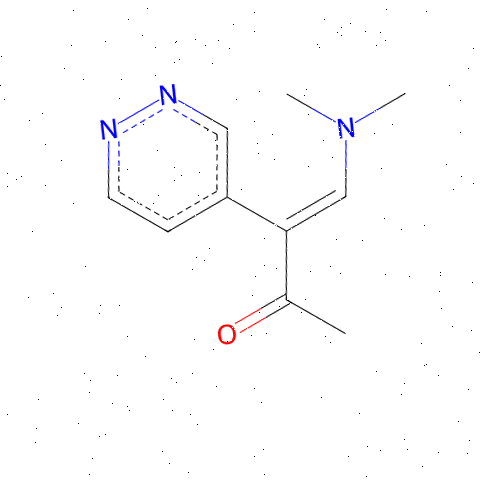 CC(=O)/C(=C/N(C)C)c1ccnnc1